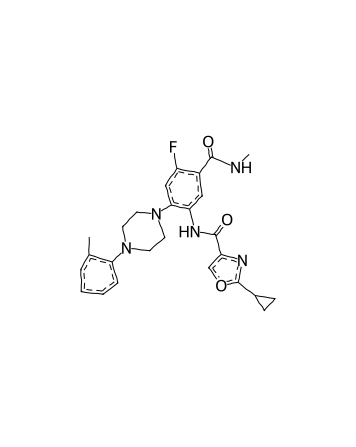 CNC(=O)c1cc(NC(=O)c2coc(C3CC3)n2)c(N2CCN(c3ccccc3C)CC2)cc1F